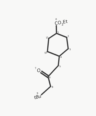 CCOC(=O)C1CCC(CC(=O)CC(C)(C)C)CC1